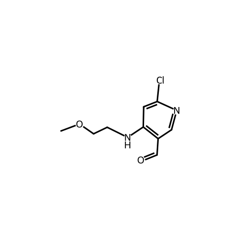 COCCNc1cc(Cl)ncc1C=O